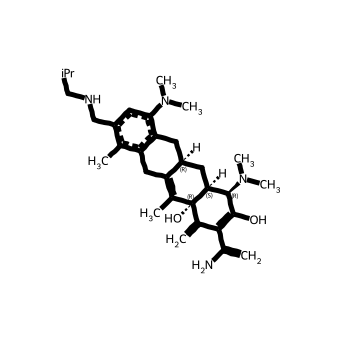 C=C(N)C1=C(O)[C@H](N(C)C)[C@@H]2C[C@@H]3Cc4c(N(C)C)cc(CNCC(C)C)c(C)c4CC3=C(C)[C@]2(O)C1=C